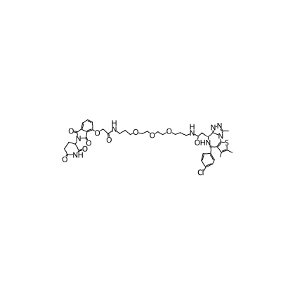 Cc1sc2c(c1C)C(c1ccc(Cl)cc1)=N[C@@H](CC(O)NCCCOCCOCCOCCCNC(=O)COc1cccc3c1C(=O)N(C1CCC(=O)NC1=O)C3=O)c1nnc(C)n1-2